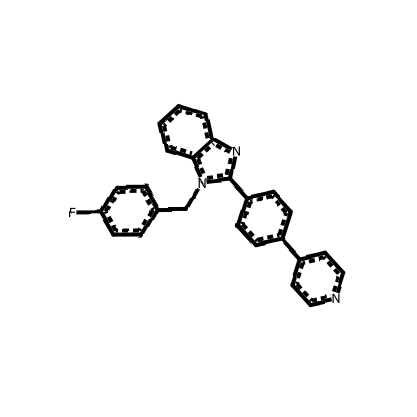 Fc1ccc(Cn2c(-c3ccc(-c4ccncc4)cc3)nc3ccccc32)cc1